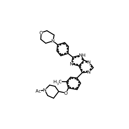 CC(=O)N1CCC(Oc2ccc(-c3ncnc4[nH]c(-c5ccc(N6CCOCC6)cc5)nc34)cc2C)CC1